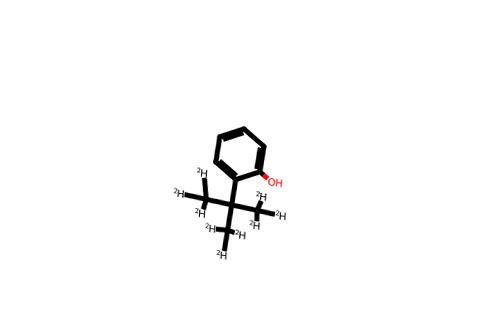 [2H]C([2H])([2H])C(c1ccccc1O)(C([2H])([2H])[2H])C([2H])([2H])[2H]